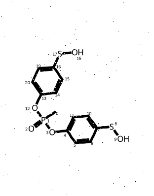 CP(=O)(Oc1ccc(SO)cc1)Oc1ccc(SO)cc1